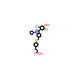 C[C@@H](CC(=O)O)c1ccc(OCc2ccc3c(-c4cc(Cl)c(O)cc4Cl)nn(C4CCCC4)c3c2)cc1